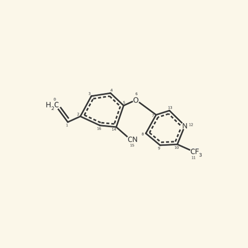 C=Cc1ccc(Oc2ccc(C(F)(F)F)nc2)c(C#N)c1